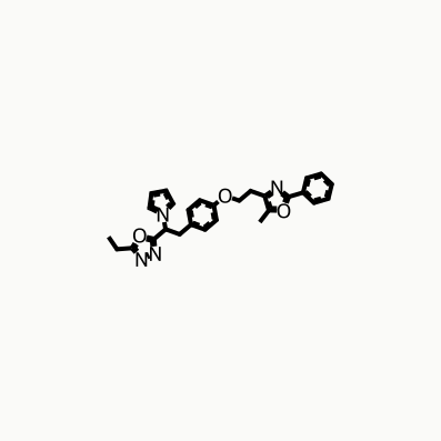 CCc1nnc(C(Cc2ccc(OCCc3nc(-c4ccccc4)oc3C)cc2)n2cccc2)o1